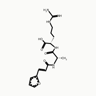 C[C@H](NC(=O)C=Cc1ccco1)C(=O)N[C@@H](CCCNC(=N)N)C(=O)O